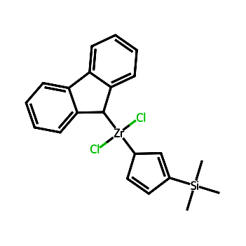 C[Si](C)(C)C1=C[CH]([Zr]([Cl])([Cl])[CH]2c3ccccc3-c3ccccc32)C=C1